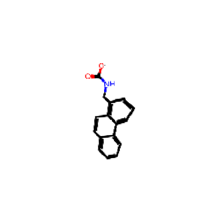 [O]C(=O)NCc1cccc2c1ccc1ccccc12